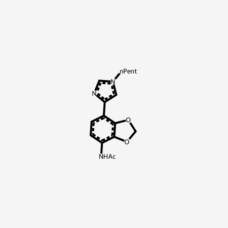 CCCCCn1cnc(-c2ccc(NC(C)=O)c3c2OCO3)c1